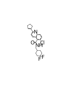 O=C(NCC1CCC(F)(F)CC1)c1c(Cl)ccc2nc(C3=CCCC3)ccc12